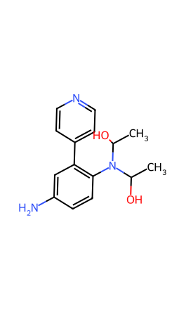 CC(O)N(c1ccc(N)cc1-c1ccncc1)C(C)O